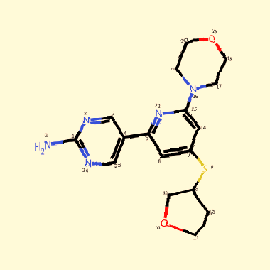 Nc1ncc(-c2cc(SC3CCOC3)cc(N3CCOCC3)n2)cn1